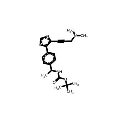 CC(NC(=O)OC(C)(C)C)c1ccc(-c2scnc2C#CCN(C)C)cc1